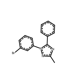 Cc1nc(-c2ccccc2)n(-c2cccc(Br)c2)n1